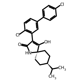 CC(C)[C@H]1CC[C@]2(CC1)NC(=O)C(c1cc(-c3ccc(Cl)cc3)ccc1Cl)=C2O